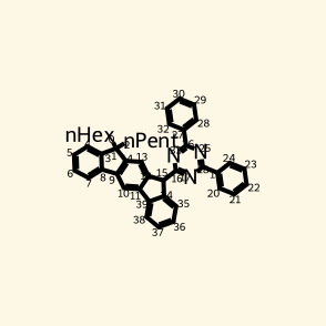 CCCCCCC1(CCCCC)c2ccccc2-c2cc3c(cc21)C(c1nc(-c2ccccc2)nc(-c2ccccc2)n1)c1ccccc1-3